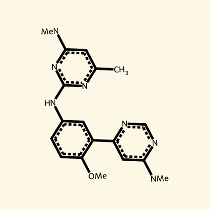 CNc1cc(-c2cc(Nc3nc(C)cc(NC)n3)ccc2OC)ncn1